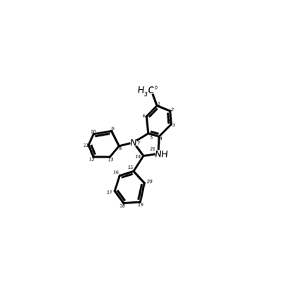 Cc1ccc2c(c1)N(C1C=CC=CC1)C(c1ccccc1)N2